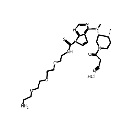 C[C@@H]1CCN(C(=O)CC#N)C[C@@H]1N(C)c1ncnc2c1ccn2C(=S)NCCOCCOCCOCCN.Cl